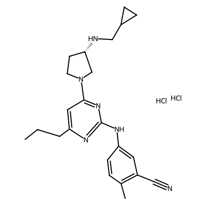 CCCc1cc(N2CC[C@H](NCC3CC3)C2)nc(Nc2ccc(C)c(C#N)c2)n1.Cl.Cl